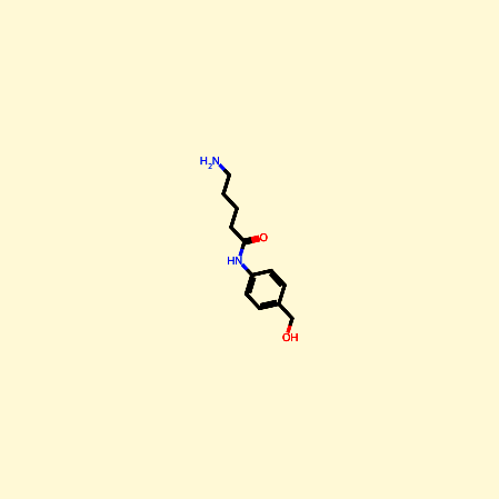 NCCCCC(=O)Nc1ccc(CO)cc1